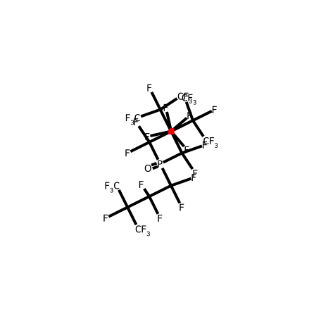 O=P(C(F)(F)C(F)(F)C(F)(C(F)(F)F)C(F)(F)F)(C(F)(F)C(F)(F)C(F)(C(F)(F)F)C(F)(F)F)C(F)(F)C(F)(F)C(F)(C(F)(F)F)C(F)(F)F